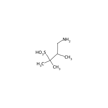 CC(CN)C(C)(C)S(=O)(=O)O